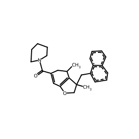 CC1CC(C(=O)N2CCCCC2)=CC2=C1C(C)(Cc1cccc3ccccc13)CO2